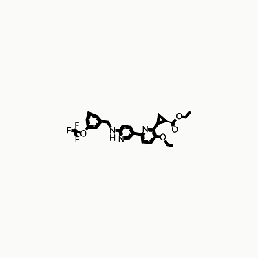 CCOC(=O)[C@@H]1CC1c1nc(-c2ccc(NCc3cccc(OC(F)(F)F)c3)nc2)ccc1OCC